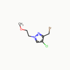 COCCn1cc(Cl)c(CBr)n1